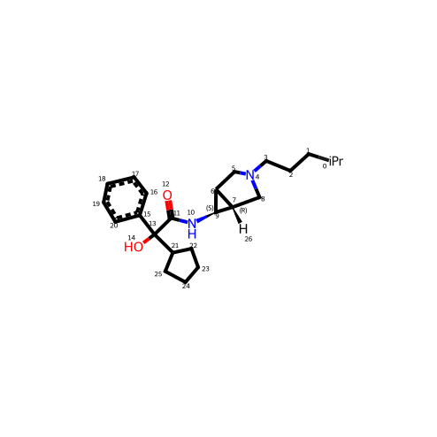 CC(C)CCCN1CC2[C@H](C1)[C@H]2NC(=O)C(O)(c1ccccc1)C1CCCC1